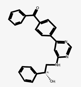 O=C(c1ccccc1)c1ccc(-c2cc(NC[C@H](O)c3ccccc3)ncn2)cc1